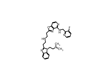 CN(C)CCn1c(CCNCCc2nc3c(NCc4ncccc4F)nccc3o2)nc2ccccc21